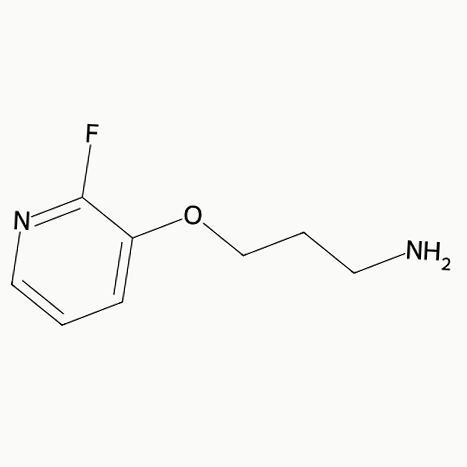 NCCCOc1cccnc1F